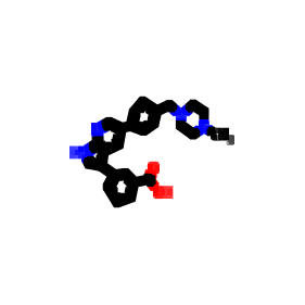 CN1CCN(Cc2ccc(-c3cnc4[nH]cc(-c5cccc(C(=O)O)c5)c4c3)cc2)CC1